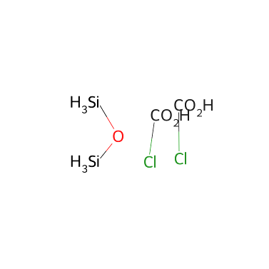 O=C(O)Cl.O=C(O)Cl.[SiH3]O[SiH3]